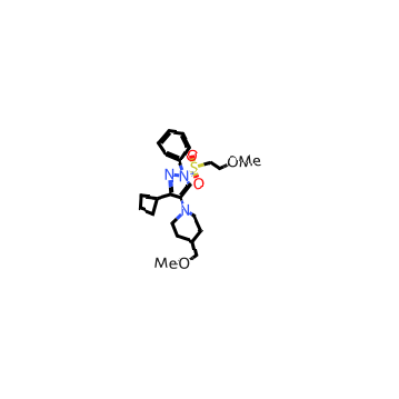 COCCS(=O)(=O)[N+]1(c2ccccc2)C=C(N2CCC(COC)CC2)C(C2CCC2)=N1